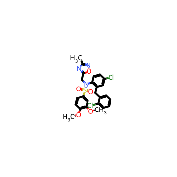 COc1ccc(S(=O)(=O)N(Cc2nc(C)no2)c2ccc(Cl)cc2Cc2ccccc2Cl)cc1OC